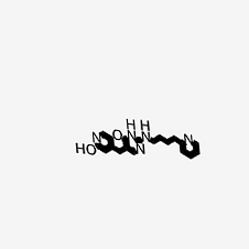 O=c1[nH]c(NCCCCc2ccccn2)ncc1Cc1ccnc(O)c1